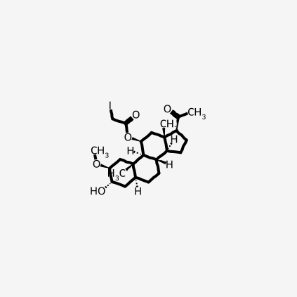 CO[C@H]1C[C@@]2(C)[C@@H](CC[C@@H]3[C@@H]2[C@@H](OC(=O)CI)C[C@]2(C)[C@@H](C(C)=O)CC[C@@H]32)C[C@@H]1O